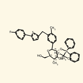 Cc1ccc(C2O[C@H](CO)[C@@H](C)[C@H](O)[C@H]2O[Si](c2ccccc2)(c2ccccc2)C(C)(C)C)cc1Cc1ccc(-c2ccc(F)cc2)s1